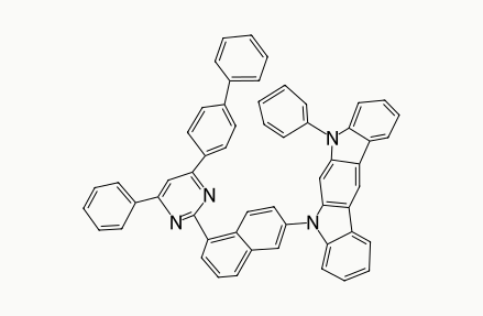 c1ccc(-c2ccc(-c3cc(-c4ccccc4)nc(-c4cccc5cc(-n6c7ccccc7c7cc8c9ccccc9n(-c9ccccc9)c8cc76)ccc45)n3)cc2)cc1